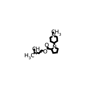 CN(C)CCOC(=O)C1CCCN1C1CCN(C)CC1